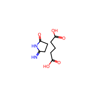 N=C1CCC(=O)N1.O=C(O)CCCC(=O)O